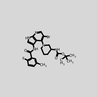 Cc1ccc(F)c(C(=O)Nc2c[nH]c3ncc(Br)c(N4CCCC(NC(=O)OC(C)(C)C)C4)c23)c1